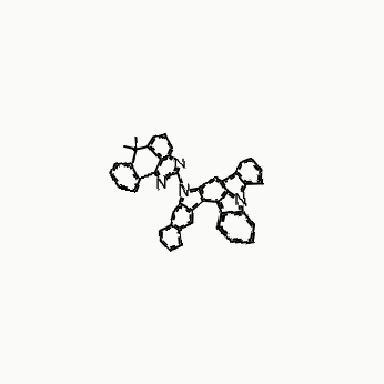 CC1(C)c2ccccc2-c2nc(-n3c4cc5ccccc5cc4c4c5c6ccccc6n6c7ccccc7c(cc43)c56)nc3cccc1c23